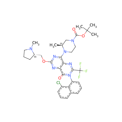 C[C@H]1CN(C(=O)OC(C)(C)C)CCN1c1nc(OC[C@@H]2CCCN2C)nc2c(=O)n(-c3cccc4cccc(Cl)c34)c(C(F)(F)F)nc12